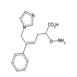 NOC(CC=C(Cn1ccnc1)c1ccccc1)C(=O)O